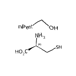 CCCCCCO.N[C@@H](CS)C(=O)O